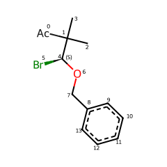 CC(=O)C(C)(C)[C@H](Br)OCc1ccccc1